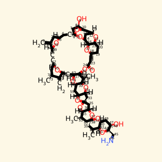 C=C1C[C@@H]2CC[C@]34C[C@@H](O)C(O3)[C@H]3CC(O4)[C@H]4O[C@H](CC[C@@H]4O3)CC(=O)O[C@@H]3[C@@H](C)[C@@H]4O[C@@H]5C[C@]6(C[C@@H]7O[C@]8(C[C@H](C)[C@@H]9O[C@H](CN)[C@H](O)C[C@@H]9O8)C[C@H](C)[C@@H]7O6)O[C@@H]5C[C@@H]4O[C@H]3C[C@H]3O[C@@H](CC[C@@H]1O2)C[C@@H](C)C3=C